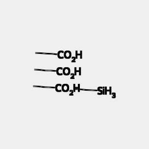 CC(=O)O.CC(=O)O.CC(=O)O.C[SiH3]